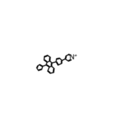 C[n+]1ccc(-c2ccc(-c3c4ccccc4c(-c4ccccc4)c4ccccc34)cc2)cc1